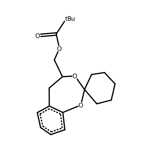 CC(C)(C)C(=O)OCC1Cc2ccccc2OC2(CCCCC2)O1